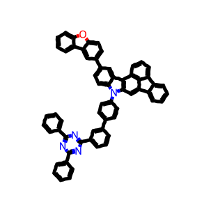 c1ccc(-c2nc(-c3ccccc3)nc(-c3cccc(-c4ccc(-n5c6ccc(-c7ccc8oc9ccccc9c8c7)cc6c6c7cccc8c7c(cc65)-c5ccccc5-8)cc4)c3)n2)cc1